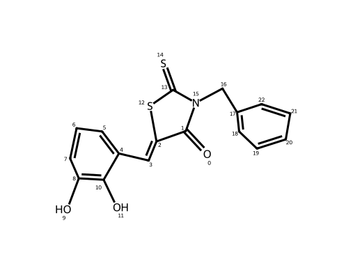 O=C1/C(=C/c2cccc(O)c2O)SC(=S)N1Cc1ccccc1